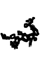 CCc1cc2c(cc1-c1cc(OC)c3ncnn3c1)[nH]c(=O)n2[C@@H]1CCCN(C(=O)CN(C)C)C1